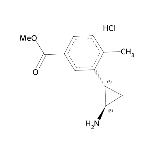 COC(=O)c1ccc(C)c([C@@H]2C[C@H]2N)c1.Cl